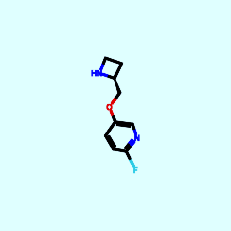 Fc1ccc(OC[C@@H]2CCN2)cn1